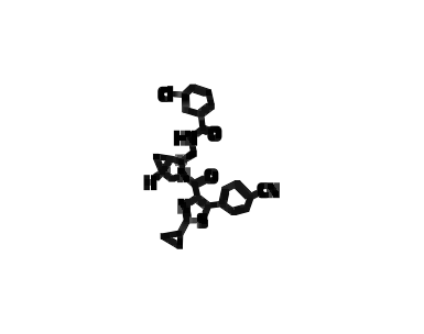 N#Cc1ccc(-c2sc(C3CC3)nc2C(=O)N2C[C@@H]3CC3[C@H]2CNC(=O)c2cccc(Cl)c2)cc1